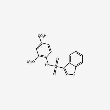 COc1cc(C(=O)O)ccc1NS(=O)(=O)c1csc2ccccc12